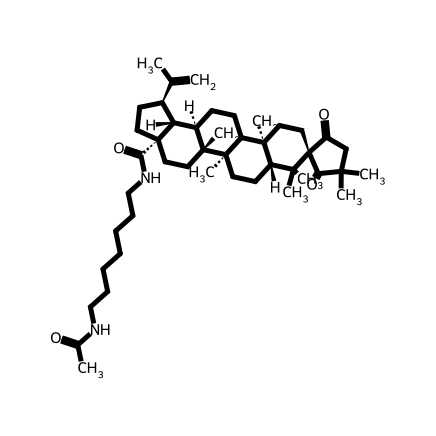 C=C(C)[C@@H]1CC[C@]2(C(=O)NCCCCCCCNC(C)=O)CC[C@]3(C)[C@H](CCC4[C@@]5(C)CC[C@]6(C(=O)CC(C)(C)C6=O)C(C)(C)[C@@H]5CC[C@]43C)[C@@H]12